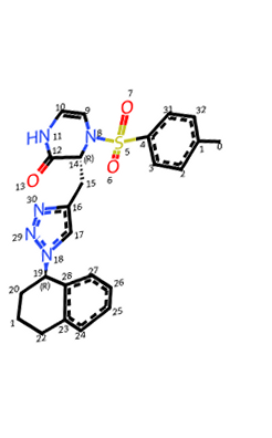 Cc1ccc(S(=O)(=O)N2C=CNC(=O)[C@H]2Cc2cn([C@@H]3CCCc4ccccc43)nn2)cc1